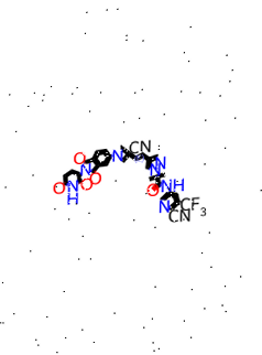 CC(C)(C(=O)Nc1cnc(C#N)c(C(F)(F)F)c1)n1cc(/C=C/C2(C#N)CN(c3ccc4c(c3)C(=O)N(C3CCC(=O)NC3=O)C4=O)C2)cn1